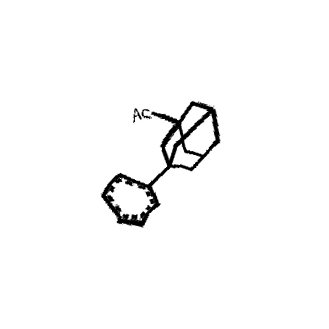 CC(=O)C12CC3CC(C1)CC(c1ccccc1)(C3)C2